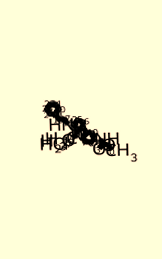 COC(=O)Nc1ccc2c(c1)c1c(n2C)C(NCCc2ccccc2)CC1.Cl.O